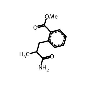 COC(=O)c1ccccc1CC(C)C(N)=O